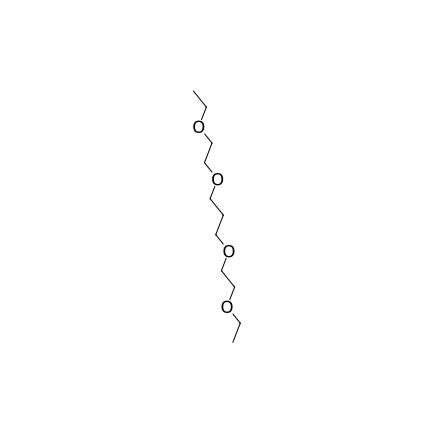 CCOCCOCCCOCCOCC